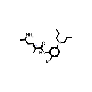 C=C(N)C/C=C(\C)C(=O)Nc1cc(N(CCC)CCC)ccc1Br